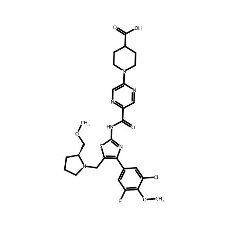 COC[C@@H]1CCCN1Cc1sc(NC(=O)c2cnc(N3CCC(C(=O)O)CC3)cn2)nc1-c1cc(F)c(OC)c(Cl)c1